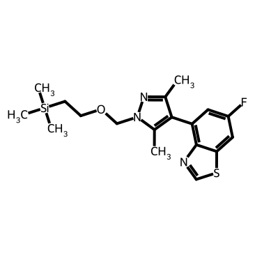 Cc1nn(COCC[Si](C)(C)C)c(C)c1-c1cc(F)cc2scnc12